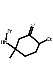 CCC1CCC(C)(NC(C)C)CC1=O